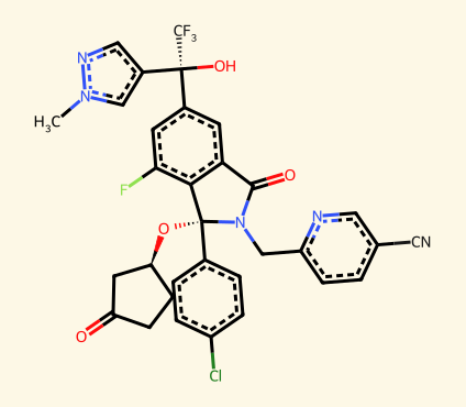 Cn1cc([C@@](O)(c2cc(F)c3c(c2)C(=O)N(Cc2ccc(C#N)cn2)[C@@]3(O[C@H]2CCC(=O)C2)c2ccc(Cl)cc2)C(F)(F)F)cn1